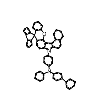 c1ccc(-c2ccc(N(c3ccccc3)c3ccc(-n4c5ccc6c(c5c5c7ccccc7ccc54)Oc4ccccc4C64c5ccccc5-c5ccccc54)cc3)cc2)cc1